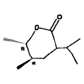 CC(C)C1C[C@@H](C)[C@H](C)OC1=O